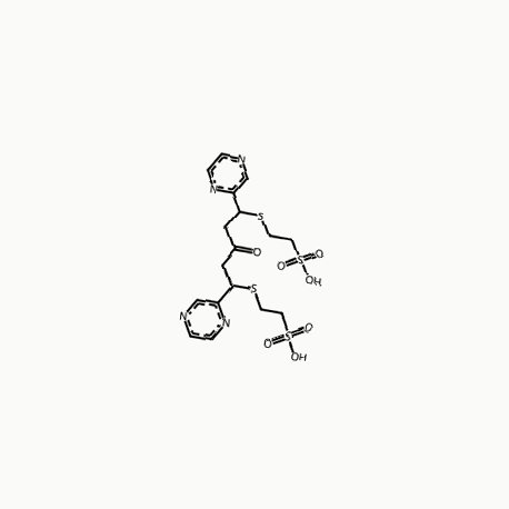 O=C(CC(SCCS(=O)(=O)O)c1cnccn1)CC(SCCS(=O)(=O)O)c1cnccn1